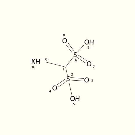 CC(S(=O)(=O)O)S(=O)(=O)O.[KH]